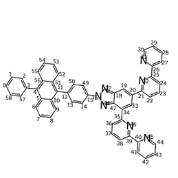 c1ccc(-c2c3ccccc3c(-c3ccc(-n4nc5cc(-c6cccc(-c7ccccn7)n6)cc(-c6cccc(-c7ccccn7)n6)c5n4)cc3)c3ccccc23)cc1